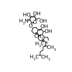 CC(C)CCC[C@@H](C)[C@H]1CCC2C3C(O)C(O)=C4CC(O[C@H]5O[C@H](CO)[C@@H](O)[C@H](O)[C@H]5N)CC[C@]4(C)C3CC[C@@]21C